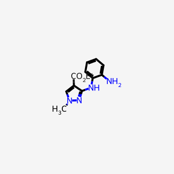 CCOC(=O)c1cn(C)nc1Nc1ccccc1N